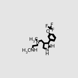 CNCCN(C)CC1CNNC1c1cccc(OC(F)(F)F)c1